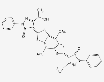 CC(=O)Oc1c2c(c(OC(C)=O)c3c1SC(=C1C(=O)N(c4ccccc4)N=C1C1CO1)S3)SC(=C1C(=O)N(c3ccccc3)N=C1C(C)O)S2